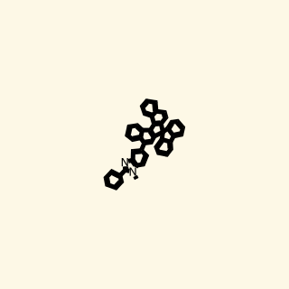 Cn1c(-c2ccccc2)nc2cc(-c3cc4c(c5ccccc35)-c3c(ccc5ccccc35)C43c4ccccc4-c4ccccc43)ccc21